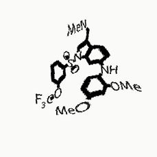 CNCc1cn(S(=O)(=O)c2cccc(OC(F)(F)F)c2)c2cc(Nc3ccc(OC)cc3OC)ccc12